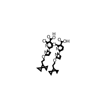 O=C(O)c1ccc(-n2ccc(OCCC3C4(CC4)C34CC4)n2)nc1Cl.O=C(O)c1ccc(-n2ccc(OCCC3C4(CC4)C34CC4)n2)nc1Cl